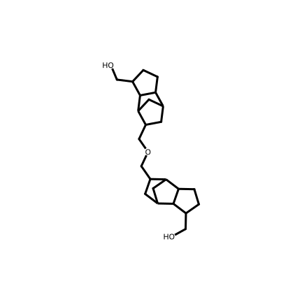 OCC1CCC2C3CC(CC3COCC3CC4CC3C3C(CO)CCC43)C12